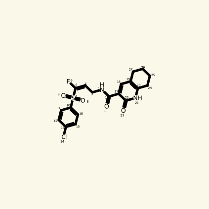 O=C(NC/C=C(/F)S(=O)(=O)c1ccc(Cl)cc1)c1cc2c([nH]c1=O)CCCC2